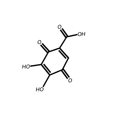 O=C(O)C1=CC(=O)C(O)=C(O)C1=O